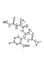 COc1cc(F)ccc1[C@@H](OC(=O)C1CC1)[C@H](C)OC(=O)[C@H](C)NC(=O)OC(C)(C)C